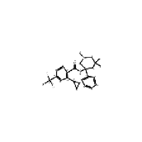 CN1CC(C)(C)CC(NC(=O)c2ccc(C(F)(F)F)cc2C2CC2)(c2ccccc2)C1